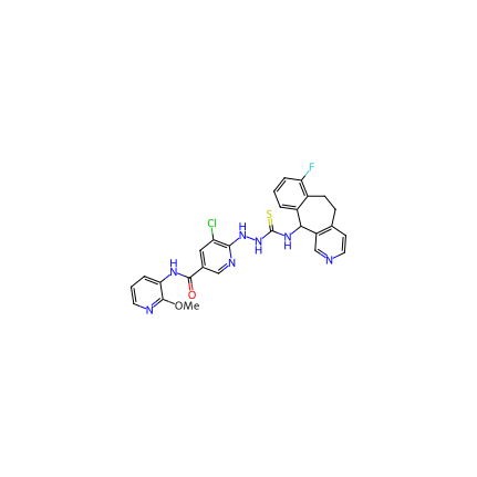 COc1ncccc1NC(=O)c1cnc(NNC(=S)NC2c3cnccc3CCc3c(F)cccc32)c(Cl)c1